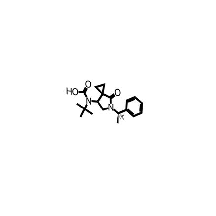 C[C@H](c1ccccc1)N1CC(N(C(=O)O)C(C)(C)C)C2(CC2)C1=O